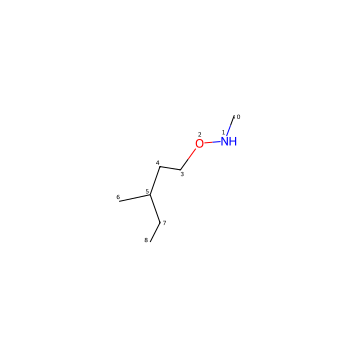 [CH2]NOCCC(C)CC